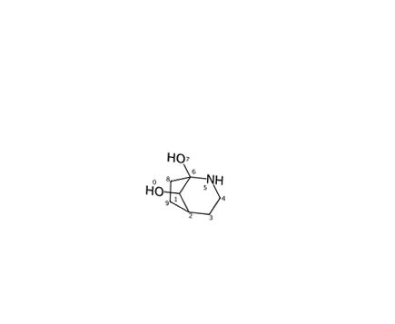 OC1C2CCNC1(O)CC2